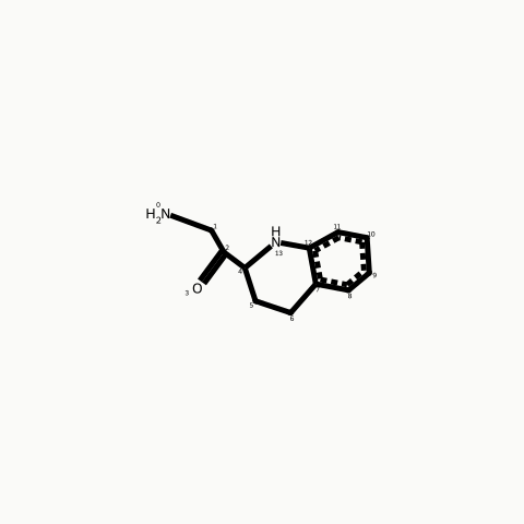 NCC(=O)C1CCc2ccccc2N1